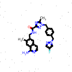 Cc1cc2c(N)nccc2cc1CNC(=O)c1nc(C)n(Cc2ccc(Cn3cc(F)cn3)cc2)n1